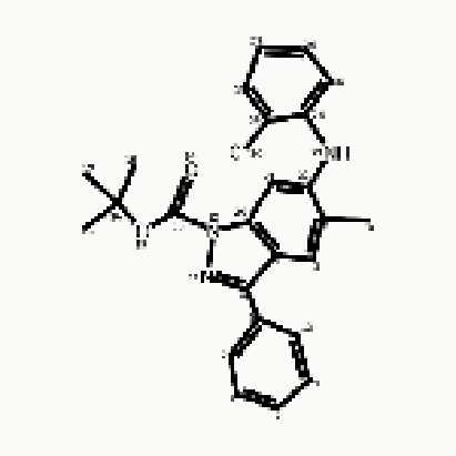 Cc1cc2c(-c3ccccc3)nn(C(=O)OC(C)(C)C)c2cc1Nc1ccccc1Cl